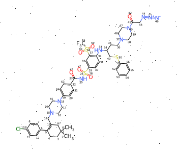 CC1(C)CCC(c2ccc(Cl)cc2)=C(CN2CCN(c3ccc(C(=O)NS(=O)(=O)c4ccc(NC(CCN5CCN(C(=O)CN=[N+]=[N-])CC5)CSc5ccccc5)c(S(=O)(=O)C(F)(F)F)c4)cc3)CC2)C1